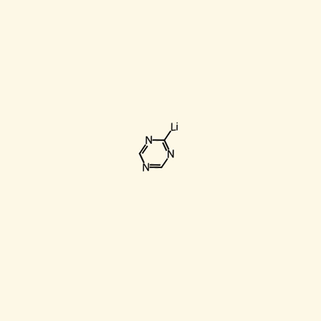 [Li][c]1ncncn1